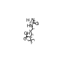 CC(C)(C)C(CCCNC(N)=O)C(=O)O